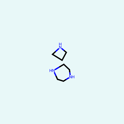 C1CNC1.C1CNCCN1